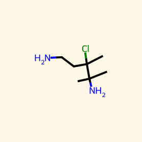 CC(C)(N)C(C)(Cl)CCN